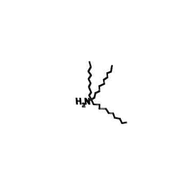 CCCCCCCCCCC(N)(CCCCCCCCC)CCCCCCCCCC